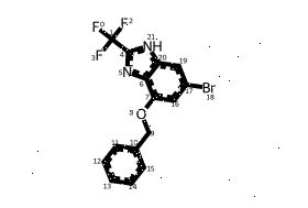 FC(F)(F)c1nc2c(OCc3ccccc3)cc(Br)cc2[nH]1